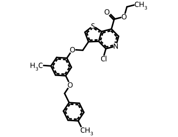 CCOC(=O)c1cnc(Cl)c2c(COc3cc(C)cc(OCc4ccc(C)cc4)c3)csc12